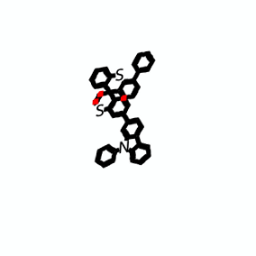 c1ccc(-c2cccc3c2Sc2ccccc2C32c3ccccc3Sc3cc(-c4ccc5c6ccccc6n(-c6ccccc6)c5c4)ccc32)cc1